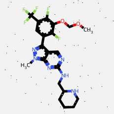 COCOc1c(F)c(-c2nn(C)c3nc(NCC4CCCCN4)ncc23)cc(C(F)(F)F)c1F